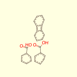 O=C(O)c1ccccc1.O=C(O)c1ccccc1.c1ccc2c(c1)=c1ccccc1=2